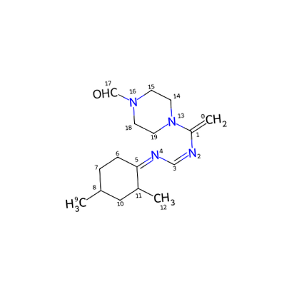 C=C(/N=C\N=C1\CCC(C)CC1C)N1CCN(C=O)CC1